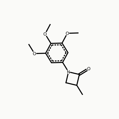 COc1cc(N2CC(C)C2=O)cc(OC)c1OC